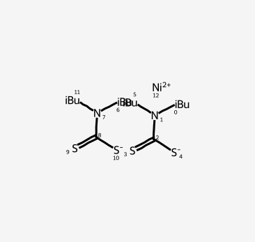 CCC(C)N(C(=S)[S-])C(C)CC.CCC(C)N(C(=S)[S-])C(C)CC.[Ni+2]